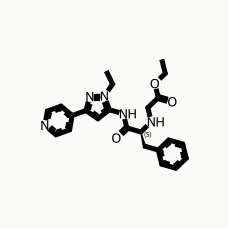 CCOC(=O)CN[C@@H](Cc1ccccc1)C(=O)Nc1cc(-c2ccncc2)nn1CC